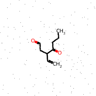 C=CC(CC=O)C(=O)CCC